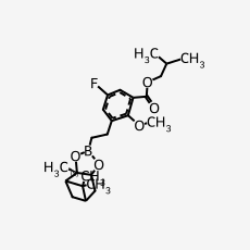 COc1c(CCB2OC3CC4CC(C4(C)C)[C@]3(C)O2)cc(F)cc1C(=O)OCC(C)C